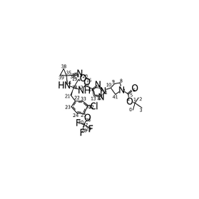 CC(C)(C)OC(=O)N1CCC(n2ncc(C(=O)N[C@](C=O)(Cc3ccc(OC(F)(F)F)c(Cl)c3)NC3(C#N)CC3)n2)C1